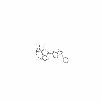 CN(C)CCN(C)c1cc(-c2ccc3c(c2)ncn3-c2ccccc2)c2nc[nH]c2c1C(N)=O